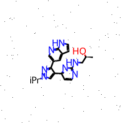 CC(C)n1cc(-c2ccnc(NC[C@H](C)O)n2)c(-c2cnc3[nH]ccc3c2)n1